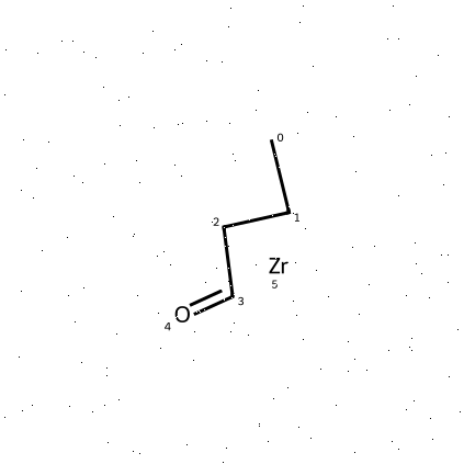 CCCC=O.[Zr]